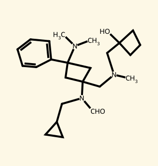 CN(CC1(O)CCC1)CC1(N(C=O)CC2CC2)CC(c2ccccc2)(N(C)C)C1